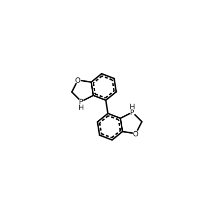 c1cc2c(c(-c3cccc4c3PCO4)c1)PCO2